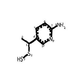 CC(SS)c1ccc(N)nc1